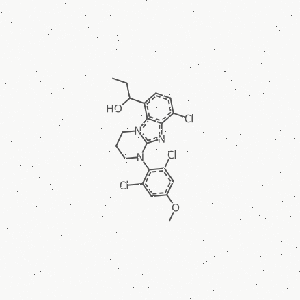 CCC(O)c1ccc(Cl)c2nc3n(c12)CCCN3c1c(Cl)cc(OC)cc1Cl